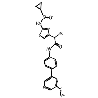 CCCOc1cncc(-c2ccc(NC(=O)C(CC)c3csc(N[S+]([O-])C4CC4)n3)cc2)n1